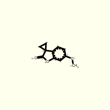 COc1ccc2c(c1)OC(=O)C21CC1